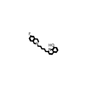 Oc1cccc2ccc(CCCCCN3CCc4cc(F)ccc4C3)nc12